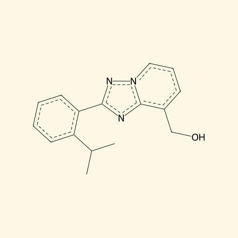 CC(C)c1ccccc1-c1nc2c(CO)cccn2n1